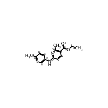 CCOC(=O)c1ccc(Nc2ccc(C)nc2)nc1C